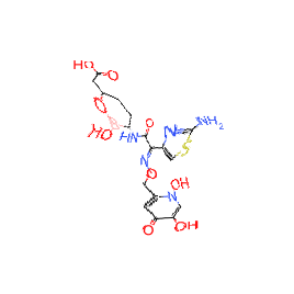 Nc1nc(/C(=N\OCc2cc(=O)c(O)cn2O)C(=O)N[C@H]2CCC(CC(=O)O)OB2O)cs1